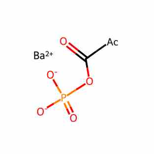 CC(=O)C(=O)OP(=O)([O-])[O-].[Ba+2]